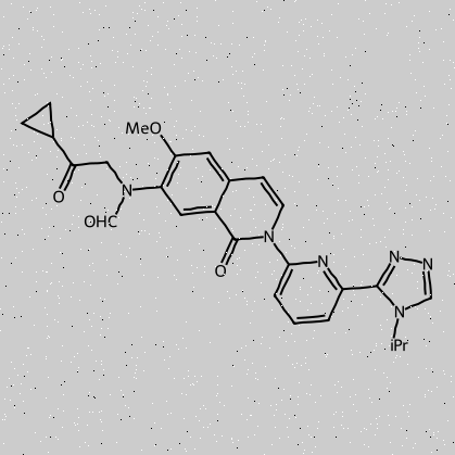 COc1cc2ccn(-c3cccc(-c4nncn4C(C)C)n3)c(=O)c2cc1N(C=O)CC(=O)C1CC1